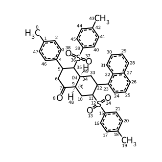 Cc1ccc(C2CC(=O)[C@@H]3CC(S(=O)(=O)c4ccc(C)cc4)C(c4cccc5ccccc45)C[C@@H]3C2S(=O)(=O)c2ccc(C)cc2)cc1